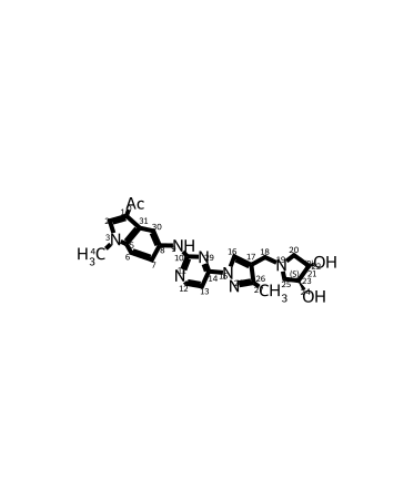 CC(=O)c1cn(C)c2ccc(Nc3nccc(-n4cc(CN5C[C@@H](O)[C@@H](O)C5)c(C)n4)n3)cc12